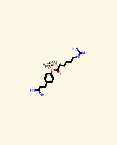 CS(=O)(=O)O.CS(=O)(=O)O.N=C(N)C=Cc1ccc(OC(=O)CCCCCNC(=N)N)cc1